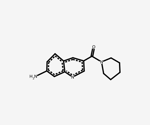 Nc1ccc2cc(C(=O)N3CCCCC3)cnc2c1